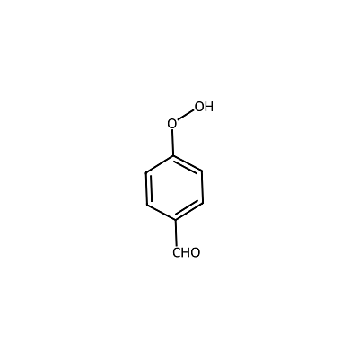 O=Cc1ccc(OO)cc1